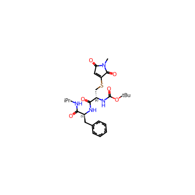 CC(C)NC(=O)[C@H](Cc1ccccc1)NC(=O)[C@H](CSC1=CC(=O)N(C)C1=O)NC(=O)OC(C)(C)C